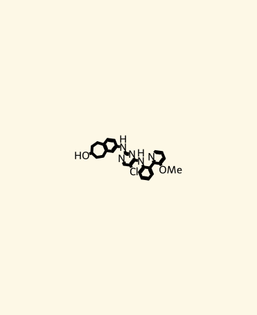 COc1cccnc1-c1ccccc1Nc1nc(Nc2ccc3c(c2)CCC(O)CC3)ncc1Cl